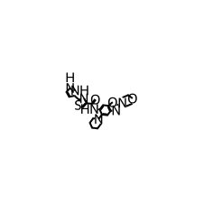 O=C(Nc1cc2oc(N3CCOCC3)nc2cc1N1CCCCC1)c1csc(C2C=CNN2)n1